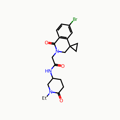 CCN1CC(NC(=O)CN2CC3(CC3)c3cc(Br)ccc3C2=O)CCC1=O